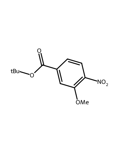 COc1cc(C(=O)OC(C)(C)C)ccc1[N+](=O)[O-]